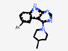 CC(=O)c1ccc2[nH]c3ncnc(N4CCC(C)CC4)c3c2c1